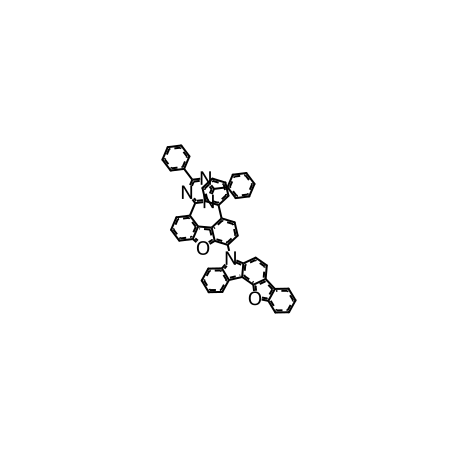 c1ccc(-c2nc(-c3ccccc3)nc(-c3cccc4oc5c(-n6c7ccccc7c7c8oc9ccccc9c8ccc76)ccc(-c6ccccc6)c5c34)n2)cc1